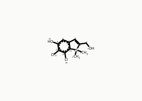 CS1(C)C(CO)=Cc2cc(O)c(Cl)c(Cl)c21